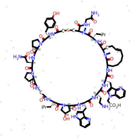 CC(C)C[C@@H]1NC(=O)C2CC/C=C/CCCCC(NC(=O)[C@H](Cc3cn(CC(=O)O)c4cccnc34)NC(=O)[C@H](CCN)NC(=O)[C@H](Cc3c[nH]c4cccnc34)NC(=O)[C@@H]3C[C@@H](O)CN3C(=O)[C@H](CC(C)C)NC(=O)CNC(=O)[C@H]3CCCN3C(=O)[C@@H](CC(N)=O)NC(=O)[C@@H]3CCCN3C(=O)[C@H](Cc3ccc(O)cc3)NC(=O)CSCC(C(=O)NCC(N)=O)N(C)C1=O)C(=O)N2C